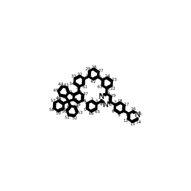 c1ccc(-c2nc(-c3ccc(-c4cccnc4)cc3)cc(-c3cccc(-c4cccc(-c5cccc(-c6cccc7c6-c6ccccc6C7(c6ccccc6)c6ccccc6)c5)c4)c3)n2)cc1